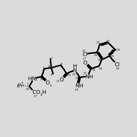 CC(C)[C@H](NC(=O)CC(C)(C)CC(=O)NC(=N)NC(=O)Cc1c(Cl)cccc1Cl)C(=O)O